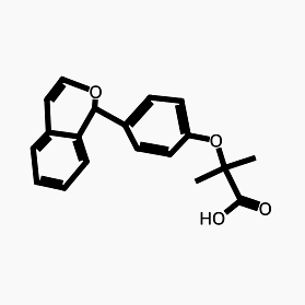 CC(C)(Oc1ccc(C2OC=Cc3ccccc32)cc1)C(=O)O